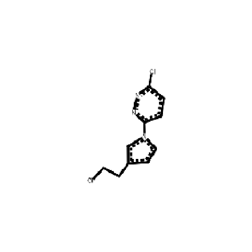 ClCCc1ccn(-c2ccc(Cl)nn2)c1